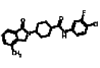 Cc1cccc2c1CN(C1CCC(C(=O)Nc3ccc(Cl)c(F)c3)CC1)C2=O